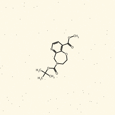 COC(=O)c1ccnc2c1OCCN(C(=O)OC(C)(C)C)C2